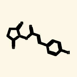 O=C(/C=C/c1ccc(Cl)cc1)ON1C(=O)CCC1=O